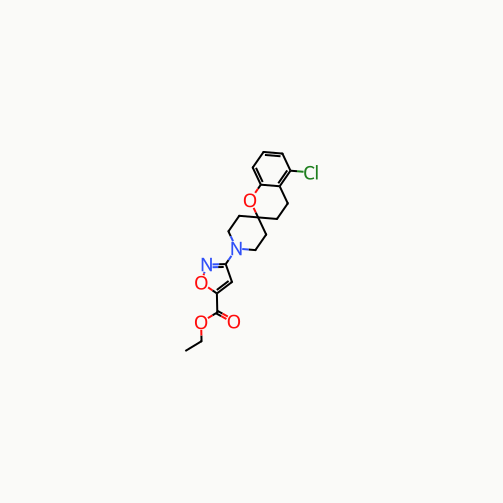 CCOC(=O)c1cc(N2CCC3(CCc4c(Cl)cccc4O3)CC2)no1